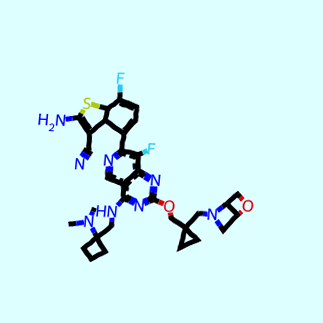 CN(C)C1(CNc2nc(OCC3(CN4CC5OCC54)CC3)nc3c(F)c(C4=CC=C(F)C5SC(N)=C(C#N)C45)ncc23)CCC1